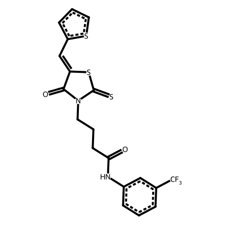 O=C(CCCN1C(=O)/C(=C/c2cccs2)SC1=S)Nc1cccc(C(F)(F)F)c1